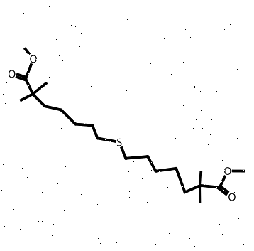 COC(=O)C(C)(C)CCCCCSCCCCCC(C)(C)C(=O)OC